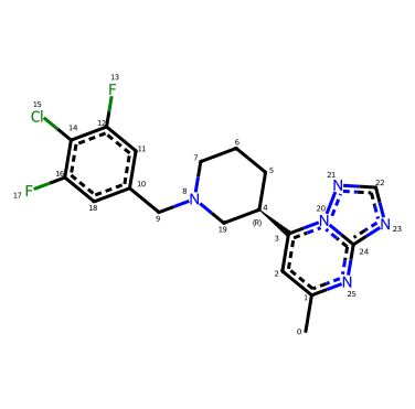 Cc1cc([C@@H]2CCCN(Cc3cc(F)c(Cl)c(F)c3)C2)n2ncnc2n1